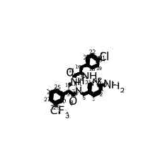 Nc1ccc(CNC(=O)[C@@H](CNC(=O)[C@H](N)Cc2ccc(Cl)cc2)c2cccc(C(F)(F)F)c2)cn1